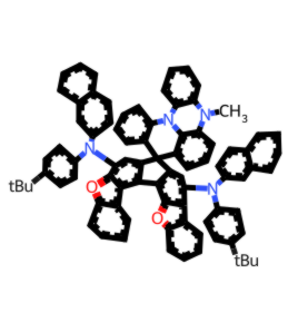 CN1c2ccccc2N2c3ccccc3C3(c4cccc1c42)c1cc(N(c2ccc(C(C)(C)C)cc2)c2ccc4ccccc4c2)c2c(oc4ccccc42)c1-c1c3cc(N(c2ccc(C(C)(C)C)cc2)c2ccc3ccccc3c2)c2oc3ccccc3c12